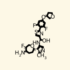 Cn1ncc(NC(O)c2csc(-c3c(F)cc(O[C@@H]4CCOC4)cc3F)n2)c1[C@@H]1CC[C@@H](N)[C@H](F)CO1